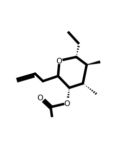 C=CCC1O[C@H](CC)[C@@H](C)[C@H](C)[C@@H]1OC(C)=O